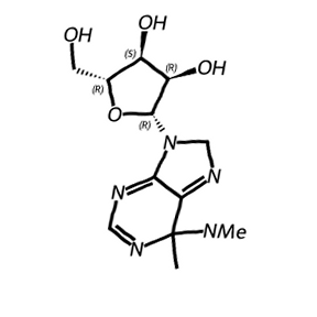 CNC1(C)N=CN=C2C1=NCN2[C@@H]1O[C@H](CO)[C@@H](O)[C@H]1O